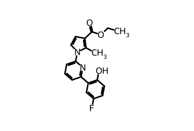 CCOC(=O)c1ccn(-c2cccc(-c3cc(F)ccc3O)n2)c1C